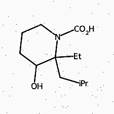 CCC1(CC(C)C)C(O)CCCN1C(=O)O